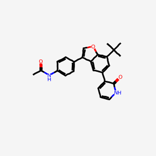 CC(=O)Nc1ccc(-c2coc3c(C(C)(C)C)cc(-c4ccc[nH]c4=O)cc23)cc1